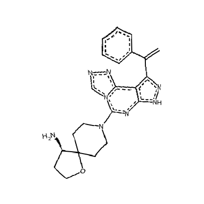 C=C(c1ccccc1)c1n[nH]c2nc(N3CCC4(CC3)OCC[C@H]4N)n3cnnc3c12